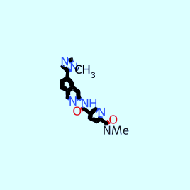 CNC(=O)c1ccc(C(=O)Nc2cc3cc(-c4cncn4C)ccc3cn2)cn1